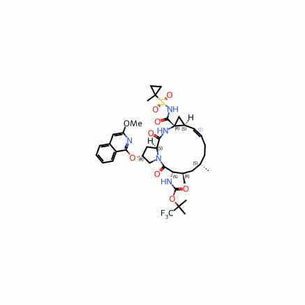 COc1cc2ccccc2c(O[C@@H]2C[C@H]3C(=O)N[C@]4(C(=O)NS(=O)(=O)C5(C)CC5)C[C@H]4/C=C\CC[C@H](C)C[C@@H](C)[C@H](NC(=O)OC(C)(C)C(F)(F)F)C(=O)N3C2)n1